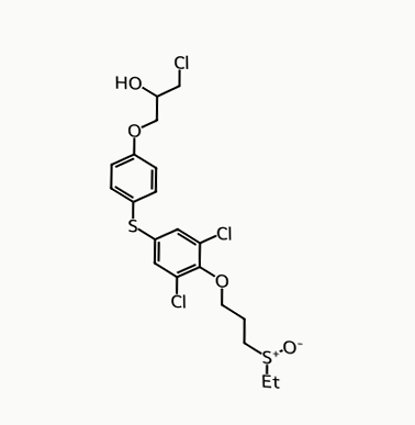 CC[S+]([O-])CCCOc1c(Cl)cc(Sc2ccc(OCC(O)CCl)cc2)cc1Cl